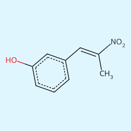 CC(=Cc1cccc(O)c1)[N+](=O)[O-]